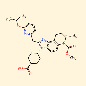 COC(=O)N1c2ccc3c(nc(Cc4cccc(OC(C)C)n4)n3[C@H]3CC[C@H](C(=O)O)CC3)c2CC[C@@H]1C